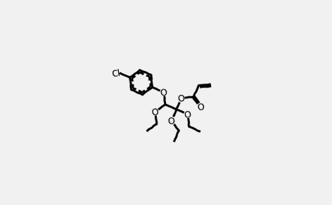 C=CC(=O)OC(OCC)(OCC)C(OCC)Oc1ccc(Cl)cc1